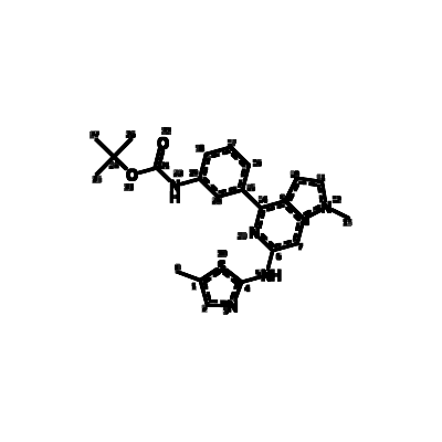 Cc1cnc(Nc2cc3c(ccn3C)c(-c3cccc(NC(=O)OC(C)(C)C)c3)n2)s1